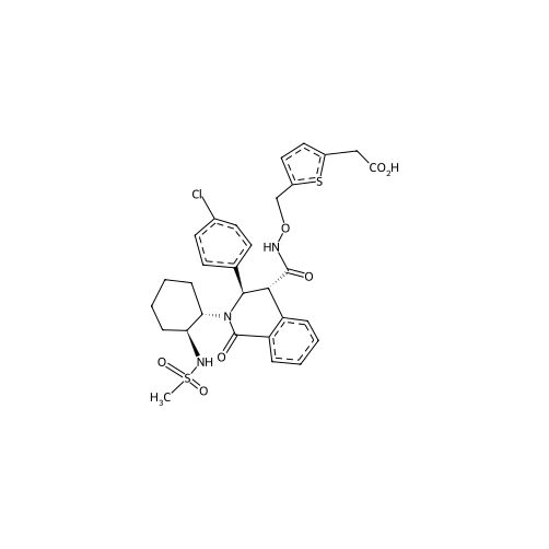 CS(=O)(=O)N[C@H]1CCCC[C@@H]1N1C(=O)c2ccccc2[C@@H](C(=O)NOCc2ccc(CC(=O)O)s2)[C@@H]1c1ccc(Cl)cc1